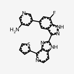 Nc1cncc(-c2cc(F)c3[nH]nc(-c4nc5c(-c6cccs6)nccc5[nH]4)c3c2)c1